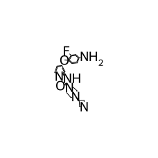 CN1CC(N2CCN(C(=O)Nc3cc(Oc4ccc(N)cc4F)ccn3)CC2)C1